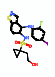 O=S(=O)(Nc1ccc2sncc2c1Nc1ccc(I)cc1F)C1(CCO)CC1